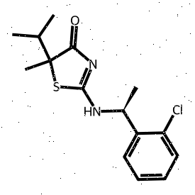 CC(C)C1(C)SC(N[C@@H](C)c2ccccc2Cl)=NC1=O